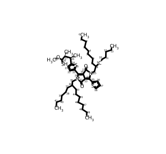 CCCCCCCCC(CCCCCC)CN1C(=O)C2=C(c3ccc([C@H](C)[C@@H](C)C(S)OC)s3)N(CC(CCCCCC)CCCCCCCC)C(=O)C2=C1c1cccs1